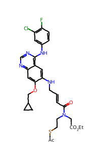 CCOC(=O)CN(CCSC(C)=O)C(=O)C=CCNc1cc2c(Nc3ccc(F)c(Cl)c3)ncnc2cc1OCC1CC1